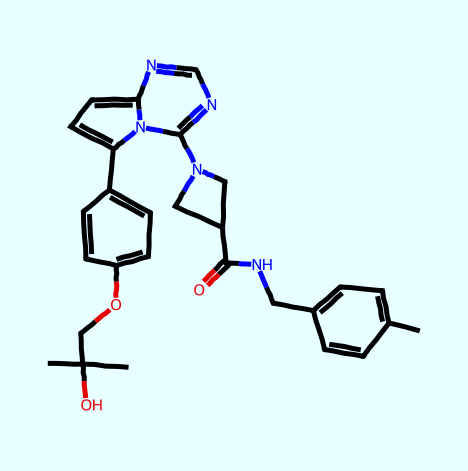 Cc1ccc(CNC(=O)C2CN(c3ncnc4ccc(-c5ccc(OCC(C)(C)O)cc5)n34)C2)cc1